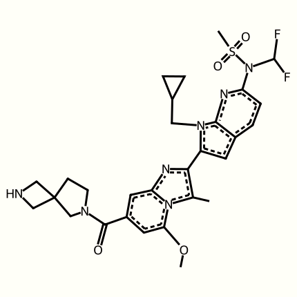 COc1cc(C(=O)N2CCC3(CNC3)C2)cc2nc(-c3cc4ccc(N(C(F)F)S(C)(=O)=O)nc4n3CC3CC3)c(C)n12